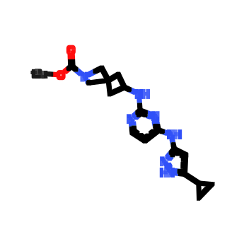 CC(C)(C)OC(=O)N1CC2(CC(Nc3nccc(Nc4cc(C5CC5)[nH]n4)n3)C2)C1